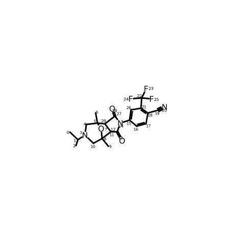 CC(C)N1CC2(C)OC(C)(C1)C1C(=O)N(c3ccc(C#N)c(C(F)(F)F)c3)C(=O)C12